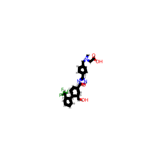 CN(CC(=O)O)Cc1ccc(-c2noc(-c3ccc(-c4ccccc4C(F)(F)F)c(CO)c3)n2)cc1